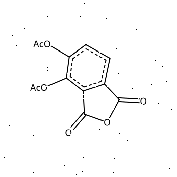 CC(=O)Oc1ccc2c(c1OC(C)=O)C(=O)OC2=O